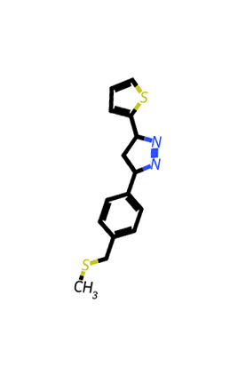 CSCc1ccc(C2CC(c3cccs3)N=N2)cc1